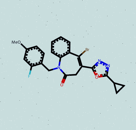 COc1ccc(CN2C(=O)CC(c3nnc(C4CC4)o3)=C(Br)c3ccccc32)c(F)c1